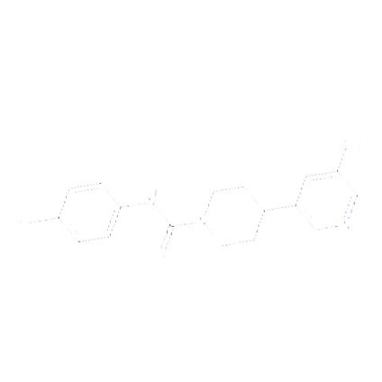 O=C(Nc1ccc(Cl)cc1)N1CCC(c2cncc(O)c2)CC1